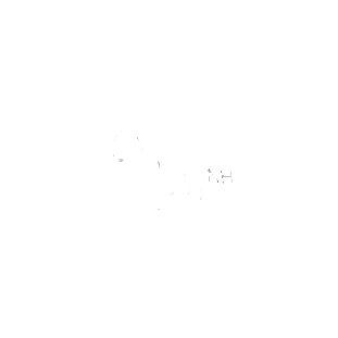 N=C1C=C(C=Cc2ccccc2)C(=O)O1